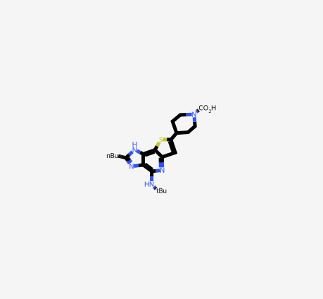 CCCCc1nc2c(NC(C)(C)C)nc3cc(C4CCN(C(=O)O)CC4)sc3c2[nH]1